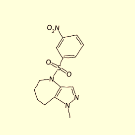 Cn1ncc2c1CCCCN2S(=O)(=O)c1cccc([N+](=O)[O-])c1